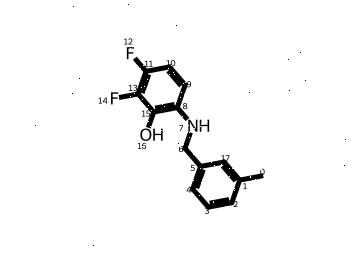 Cc1cccc(CNc2ccc(F)c(F)c2O)c1